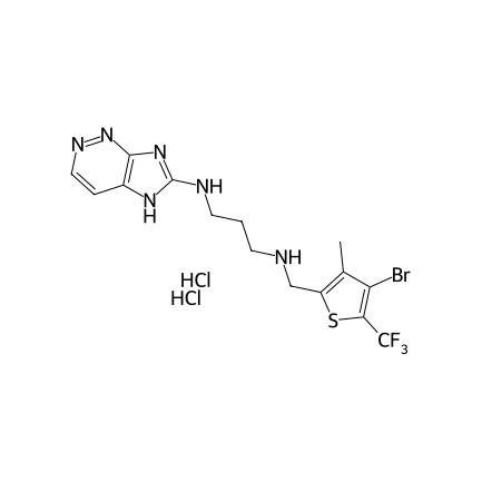 Cc1c(CNCCCNc2nc3nnccc3[nH]2)sc(C(F)(F)F)c1Br.Cl.Cl